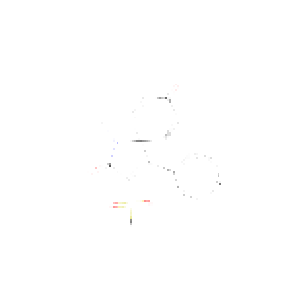 CN1C(=O)C(S(C)(=O)=O)=C(c2ccccc2)C12C=CC(=O)C=C2